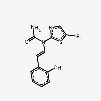 CC(C)c1cnc(N(C=Cc2ccccc2O)C(N)=O)s1